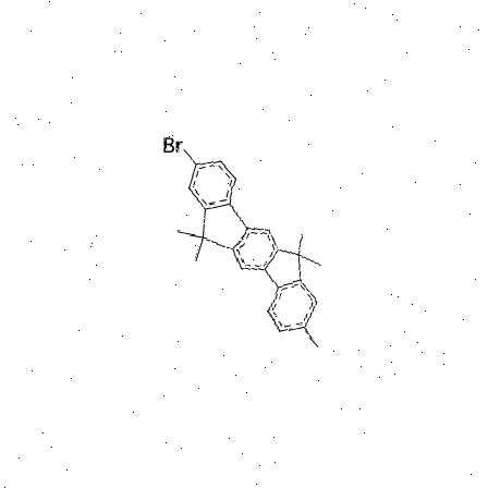 Cc1ccc2c(c1)C(C)(C)c1cc3c(cc1-2)C(C)(C)c1cc(Br)ccc1-3